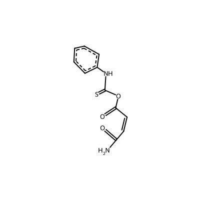 NC(=O)/C=C\C(=O)OC(=S)Nc1ccccc1